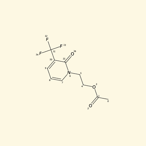 CC(=O)OCCn1cccc(C(F)(F)F)c1=O